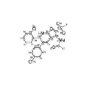 CC(=O)Nc1c(S(C)(=O)=O)oc2nc(-c3ccccc3Cl)c(-c3ccc(Cl)cc3)cc12